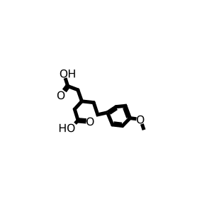 COc1ccc(CCC(CC(=O)O)CC(=O)O)cc1